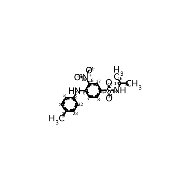 Cc1ccc(Nc2ccc(S(=O)(=O)NC(C)C)cc2[N+](=O)[O-])cc1